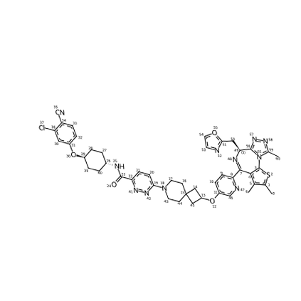 Cc1sc2c(c1C)C(c1ccc(OC3CC4(CCN(c5ccc(C(=O)N[C@H]6CC[C@H](Oc7ccc(C#N)c(Cl)c7)CC6)nn5)CC4)C3)cn1)=N[C@@H](Cc1ncco1)c1nnc(C)n1-2